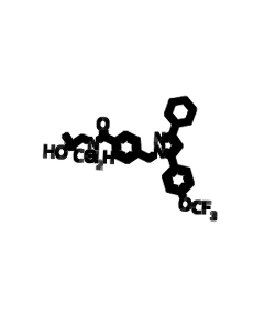 C[C@@](O)(CNC(=O)c1ccc(Cn2nc(C3CCCCC3)cc2-c2ccc(OC(F)(F)F)cc2)cc1)C(=O)O